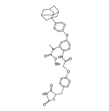 CN(C(=O)OC(C)(C)C)c1cc(Oc2ccc(C34CC5CC(CC(C5)C3)C4)cc2)ccc1NC(=O)COc1ccc(CC2SC(=O)NC2=O)cc1